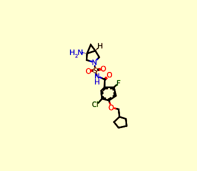 N[C@]12C[C@H]1CN(S(=O)(=O)NC(=O)c1cc(Cl)c(OCC3CCCC3)cc1F)C2